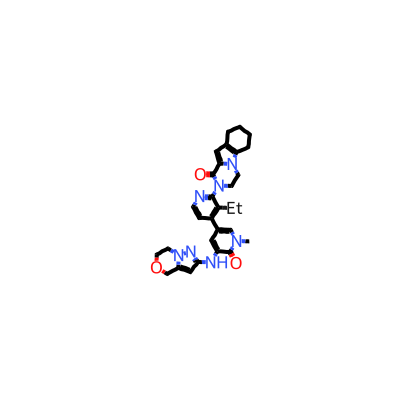 CCc1c(-c2cc(Nc3cc4n(n3)CCOC4)c(=O)n(C)c2)ccnc1N1CCn2c(cc3c2CCCC3)C1=O